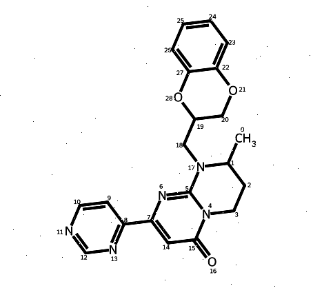 CC1CCn2c(nc(-c3ccncn3)cc2=O)N1CC1COc2ccccc2O1